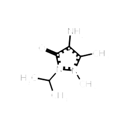 Cc1c(N)c(=O)n(C(C)C)n1C